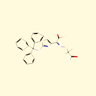 CC(C)(ON=C(C(=O)O)c1csc(NC(c2ccccc2)(c2ccccc2)c2ccccc2)n1)C(N)=O